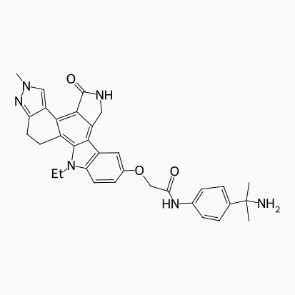 CCn1c2ccc(OCC(=O)Nc3ccc(C(C)(C)N)cc3)cc2c2c3c(c4c(c21)CCc1nn(C)cc1-4)C(=O)NC3